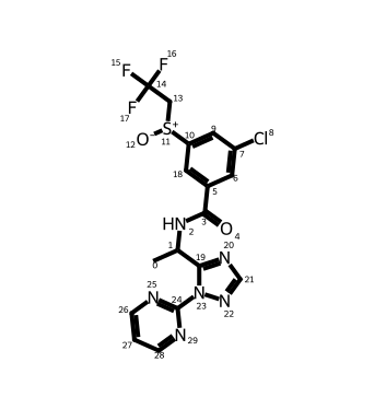 CC(NC(=O)c1cc(Cl)cc([S+]([O-])CC(F)(F)F)c1)c1ncnn1-c1ncccn1